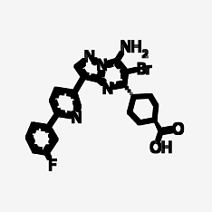 Nc1c(Br)c([C@H]2CC[C@H](C(=O)O)CC2)nc2c(-c3ccc(-c4cccc(F)c4)nc3)cnn12